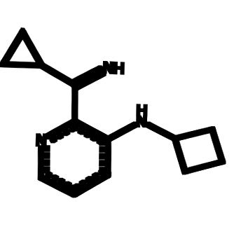 N=C(c1ncccc1NC1CCC1)C1CC1